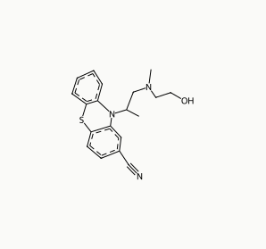 CC(CN(C)CCO)N1c2ccccc2Sc2ccc(C#N)cc21